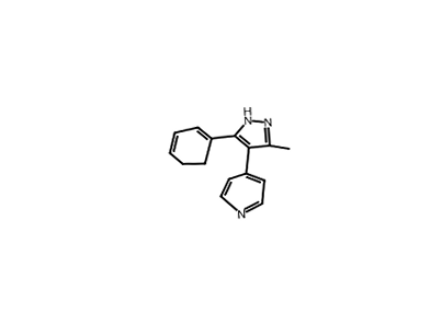 Cc1n[nH]c(C2=CC=CCC2)c1-c1ccncc1